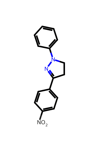 O=[N+]([O-])c1ccc(C2=NN(c3ccccc3)CC2)cc1